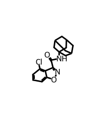 O=C(NC12CC3CC(CC(C3)C1)C2)c1noc2cccc(Cl)c12